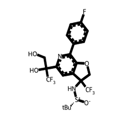 CC(C)(C)[S@@+]([O-])NC1(C(F)(F)F)COc2c1cc(C(O)(CO)C(F)(F)F)nc2-c1ccc(F)cc1